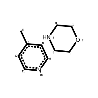 C1COCCN1.Cc1ccncc1